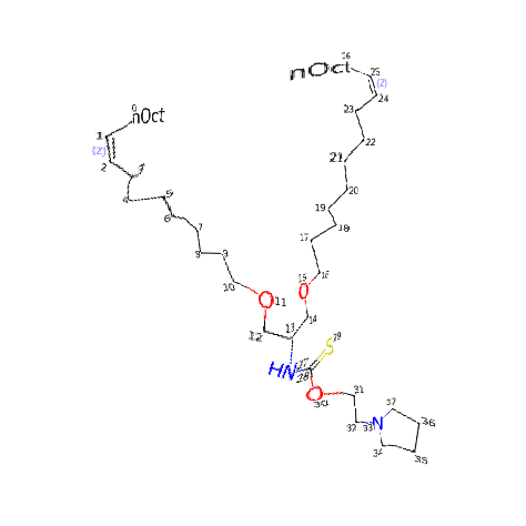 CCCCCCCC/C=C\CCCCCCCCOCC(COCCCCCCCC/C=C\CCCCCCCC)NC(=S)OCCN1CCCC1